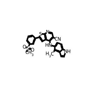 Cc1c(Nc2c(C#N)cnc3sc(-c4cccc(S(C)(=O)=O)c4)cc23)ccc2[nH]ccc12